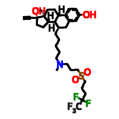 C#C[C@]1(O)CC[C@H]2[C@@H]3[C@H](CCCCCN(C)CCCS(=O)(=O)CCCC(F)(F)C(F)(F)F)Cc4cc(O)ccc4[C@H]3CC[C@@]21C